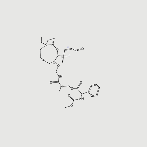 CCS1(CC)CCOC[C@@H](OCNC(=O)N(C)COC(=O)C(NC(=O)OC)c2ccccc2)C([C@@](C)(F)/C=C\C=O)ON1